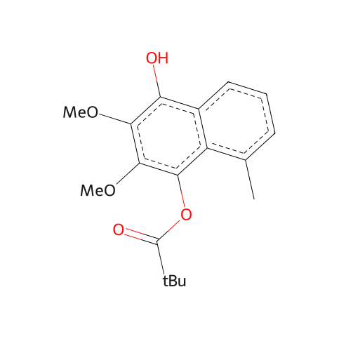 COc1c(OC)c(OC(=O)C(C)(C)C)c2c(C)cccc2c1O